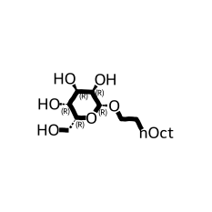 CCCCCCCCCCO[C@@H]1O[C@H](CO)[C@H](O)[C@@H](O)[C@H]1O